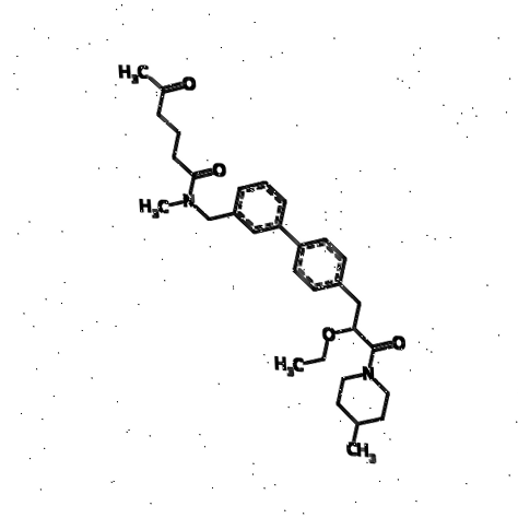 CCOC(Cc1ccc(-c2cccc(CN(C)C(=O)CCCC(C)=O)c2)cc1)C(=O)N1CCC(C)CC1